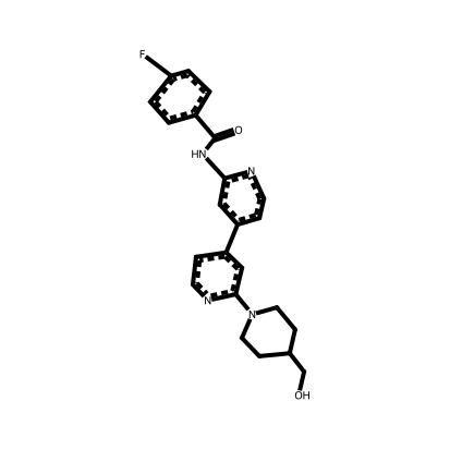 O=C(Nc1cc(-c2ccnc(N3CCC(CO)CC3)c2)ccn1)c1ccc(F)cc1